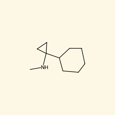 CNC1(C2CCCCC2)CC1